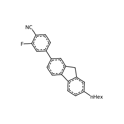 CCCCCCc1ccc2c(c1)Cc1cc(-c3ccc(C#N)c(F)c3)ccc1-2